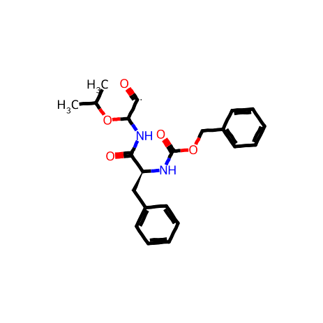 CC(C)OC([C]=O)NC(=O)[C@H](Cc1ccccc1)NC(=O)OCc1ccccc1